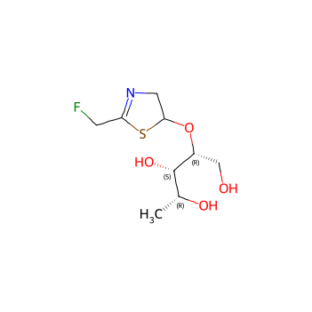 C[C@@H](O)[C@H](O)[C@@H](CO)OC1CN=C(CF)S1